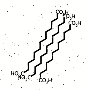 O=C(O)CCCCCCCCCCC(=O)O.O=C(O)CCCCCCCCCCCC(=O)O.O=C(O)CCCCCCCCCCCC(=O)O